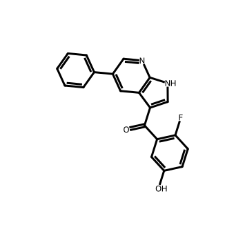 O=C(c1cc(O)ccc1F)c1c[nH]c2ncc(-c3ccccc3)cc12